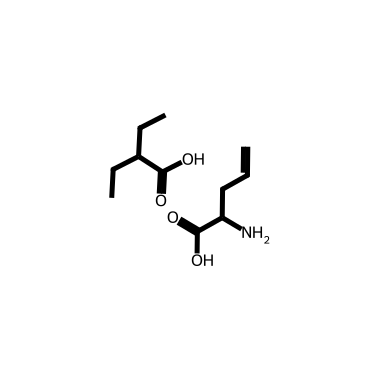 C=CCC(N)C(=O)O.CCC(CC)C(=O)O